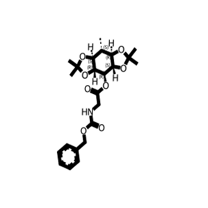 C[C@@H]1[C@H]2OC(C)(C)O[C@@H]2[C@@H](OC(=O)CNC(=O)OCc2ccccc2)[C@@H]2OC(C)(C)O[C@@H]12